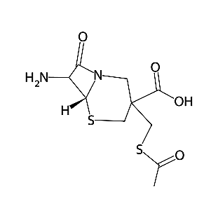 CC(=O)SCC1(C(=O)O)CS[C@@H]2C(N)C(=O)N2C1